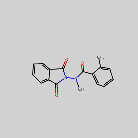 Cc1ccccc1C(=O)N(C)N1C(=O)c2ccccc2C1=O